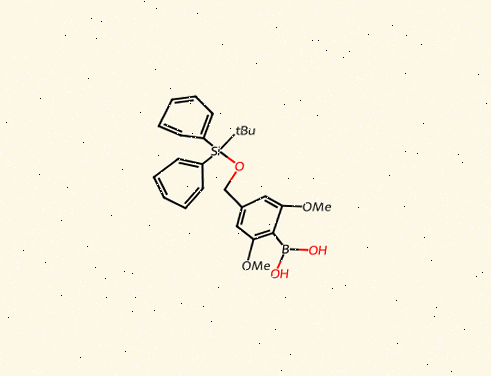 COc1cc(CO[Si](c2ccccc2)(c2ccccc2)C(C)(C)C)cc(OC)c1B(O)O